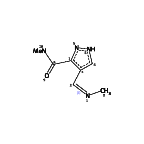 C/N=C\c1c[nH]nc1C(=O)NC